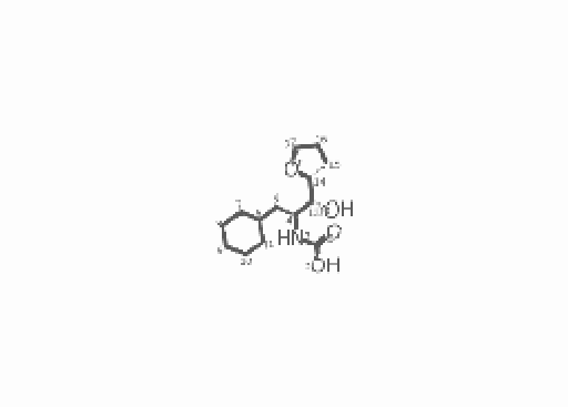 O=C(O)N[C@@H](CC1CCCCC1)[C@@H](O)[C@H]1CCCO1